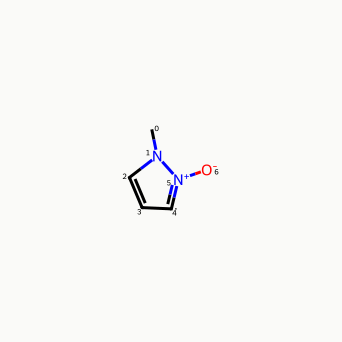 Cn1cc[c][n+]1[O-]